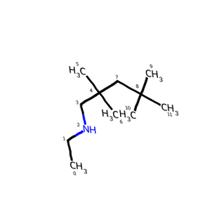 CCNCC(C)(C)CC(C)(C)C